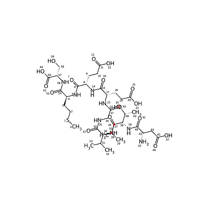 CSCC[C@H](NC(=O)[C@H](CCC(=O)O)NC(=O)[C@H](CCC(=O)O)NC(=O)[C@H](CC(C)C)NC(=O)[C@@H](NC(=O)[C@@H](NC(=O)[C@@H](N)CC(=O)O)[C@@H](C)O)C(C)C)C(=O)N[C@@H](CO)C(=O)O